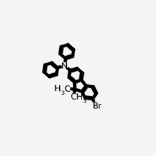 CC1(C)c2cc(Br)ccc2-c2ccc(N(c3ccccc3)c3ccccc3)cc21